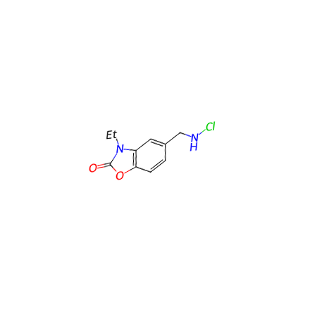 CCn1c(=O)oc2ccc(CNCl)cc21